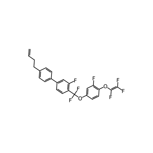 C=CCCc1ccc(-c2ccc(C(F)(F)Oc3ccc(OC(F)=C(F)F)c(F)c3)c(F)c2)cc1